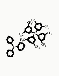 FC(F)(F)c1cc(C(F)(F)F)c[c]([Al-]([c]2cc(C(F)(F)F)cc(C(F)(F)F)c2)([c]2cc(C(F)(F)F)cc(C(F)(F)F)c2)[c]2cc(C(F)(F)F)cc(C(F)(F)F)c2)c1.c1ccc([C+](c2ccccc2)c2ccccc2)cc1